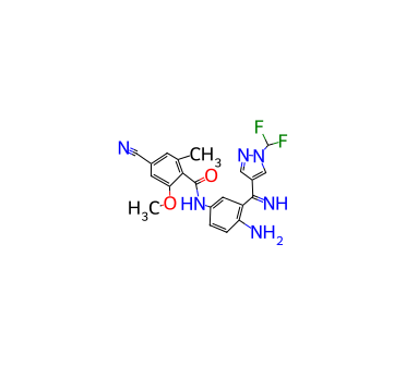 COc1cc(C#N)cc(C)c1C(=O)Nc1ccc(N)c(C(=N)c2cnn(C(F)F)c2)c1